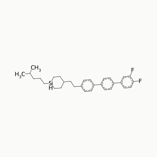 CC(C)CCC[SiH]1CCC(CCc2ccc(-c3ccc(-c4ccc(F)c(F)c4)cc3)cc2)CC1